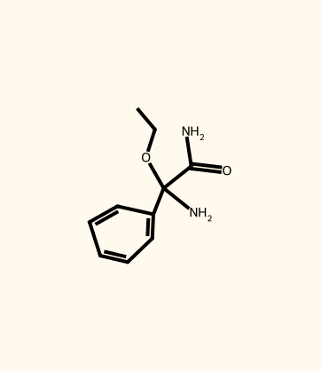 CCOC(N)(C(N)=O)c1ccccc1